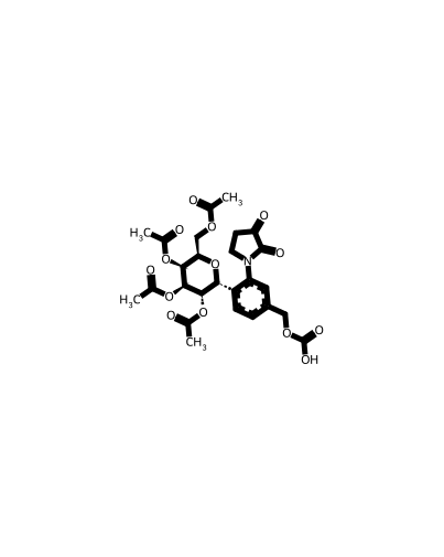 CC(=O)OC[C@H]1O[C@H](c2ccc(COC(=O)O)cc2N2CCC(=O)C2=O)[C@H](OC(C)=O)[C@@H](OC(C)=O)[C@H]1OC(C)=O